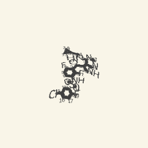 O=C(c1c(F)ccc(NS(=O)(=O)c2cc(Cl)ccc2F)c1F)c1c[nH]c2ncnc(NCC3CC3)c12